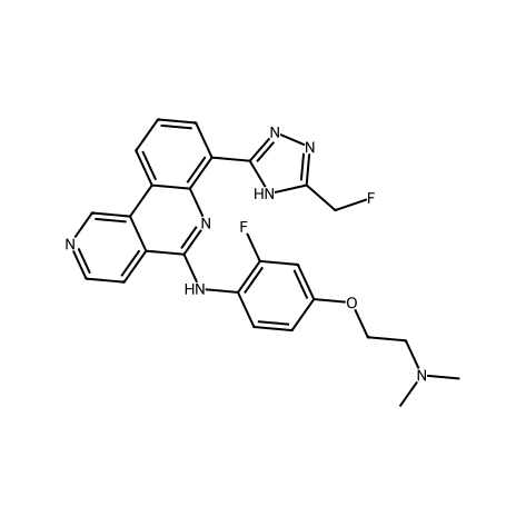 CN(C)CCOc1ccc(Nc2nc3c(-c4nnc(CF)[nH]4)cccc3c3cnccc23)c(F)c1